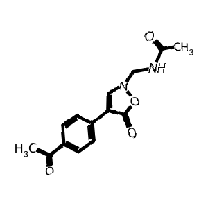 CC(=O)NCn1cc(-c2ccc(C(C)=O)cc2)c(=O)o1